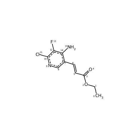 CCOC(=O)/C=C/c1cnc(Cl)c(F)c1N